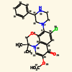 CC1(C)COc2c(N3CCNC(c4ccccc4)C3)c(Cl)cc3c(=O)c(OC(=O)O)cn1c23